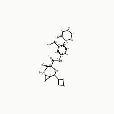 NC(=O)[C@H](NC(C1CCC1)C1CC1)C(=O)Nc1ccc(N2CCOCC2=O)c(C(F)F)c1